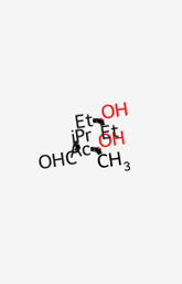 CC(=O)C(C)O.CC(C)CC=O.CCC(O)CC